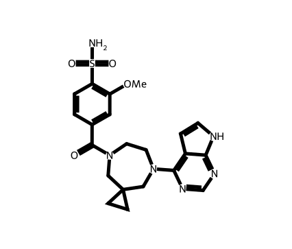 COc1cc(C(=O)N2CCN(c3ncnc4[nH]ccc34)CC3(CC3)C2)ccc1S(N)(=O)=O